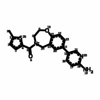 Cc1ccc(C(=O)N2CCOc3ccc(-c4ccc(N)nc4)cc3C2)s1